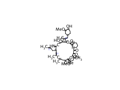 C/C=C/C[C@@H]1/C=C(\C)C[C@H](C)C[C@H](OC)[C@H]2OC(O)(C(=O)C(=O)N3CCCC[C@H]3C(=O)O[C@H](/C(C)=C/[C@@H]3CC[C@@H](O)[C@H](OC)C3)[C@H](C)[C@@H](O)CC1=N)[C@H](C)C[C@@H]2OC